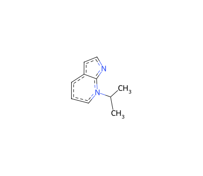 CC(C)n1cccc2ccnc1-2